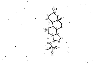 C[C@]12CCC3C(CC[C@H]4C[C@@H](O)CC[C@]34C)C1CC[C@@H]2OS(=O)(=O)[O-].[Na+]